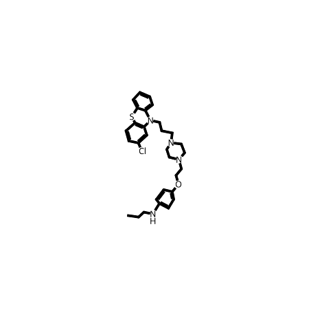 CCCNc1ccc(OCCN2CCN(CCCN3c4ccccc4Sc4ccc(Cl)cc43)CC2)cc1